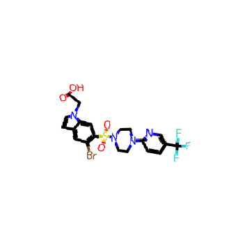 O=C(O)Cn1ccc2cc(Br)c(S(=O)(=O)N3CCN(c4ccc(C(F)(F)F)cn4)CC3)cc21